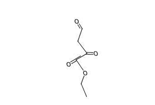 CCOC(=O)C(=O)CC=O